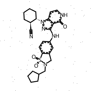 N#C[C@H]1CCCC[C@@H]1n1nc(Nc2ccc3c(c2)CN(CC2CCCC2)S3(=O)=O)c2c(=O)[nH]ccc21